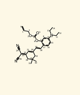 C=CCOC(=O)Oc1cc(N(CC)CC)ccc1C=CC1=CC(=C(C#N)C#N)CC(C)(C)C1